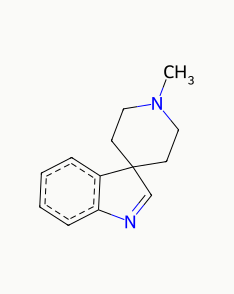 CN1CCC2(C=Nc3ccccc32)CC1